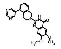 COc1cc2nc(N3CCc4c(cccc4-c4cncnc4)C3)[nH]c(=O)c2cc1OC